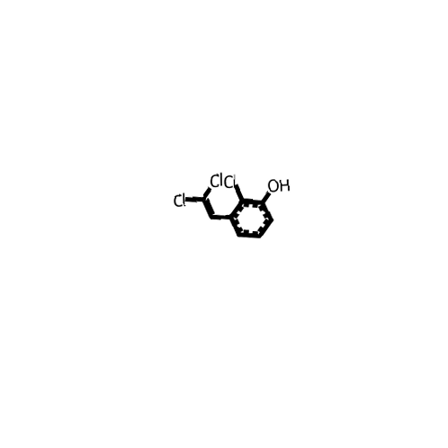 Oc1cccc(C=C(Cl)Cl)c1Cl